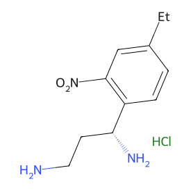 CCc1ccc([C@H](N)CCN)c([N+](=O)[O-])c1.Cl